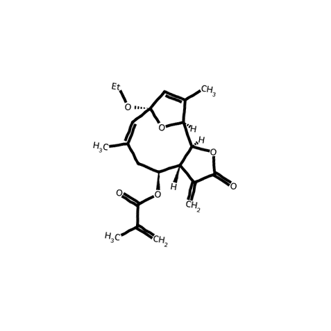 C=C(C)C(=O)O[C@H]1C/C(C)=C\[C@@]2(OCC)C=C(C)[C@H](O2)[C@H]2OC(=O)C(=C)[C@@H]21